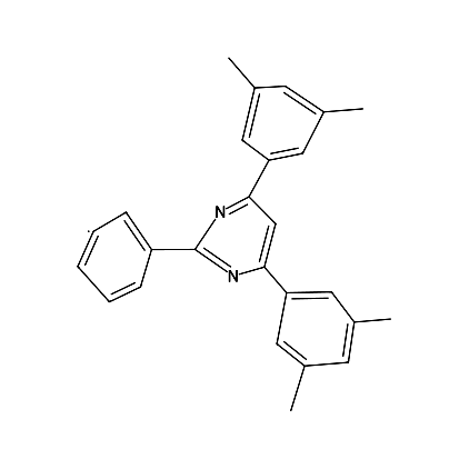 Cc1cc(C)cc(-c2cc(-c3cc(C)cc(C)c3)nc(-c3c[c]ccc3)n2)c1